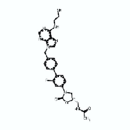 CC(=O)NC[C@H]1CN(c2ccc(-c3ccc(Cn4cnc5c(NCCS)ncnc54)cc3)c(F)c2)C(=O)O1